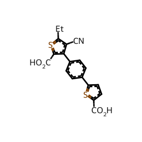 CCc1sc(C(=O)O)c(-c2ccc(-c3ccc(C(=O)O)s3)cc2)c1C#N